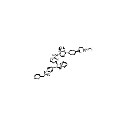 COc1cc(N2CCC(N3CCN(C)CC3)CC2)ccc1Nc1nccc(-c2c(-c3ccc4[nH]c(Cc5ccccc5)nc4c3)nc3ccccn23)n1